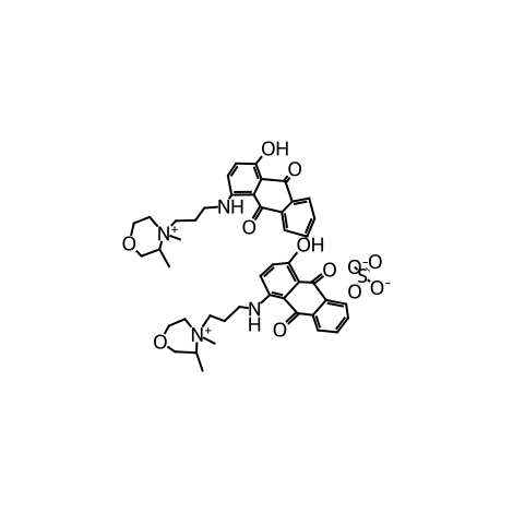 CC1COCC[N+]1(C)CCCNc1ccc(O)c2c1C(=O)c1ccccc1C2=O.CC1COCC[N+]1(C)CCCNc1ccc(O)c2c1C(=O)c1ccccc1C2=O.O=S(=O)([O-])[O-]